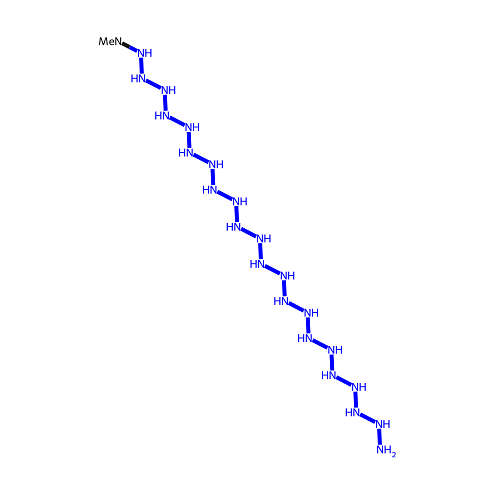 CNNNNNNNNNNNNNNNNNNNNNNN